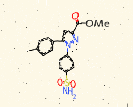 COC(=O)c1cc(-c2ccc(C)cc2)n(-c2ccc(S(N)(=O)=O)cc2)n1